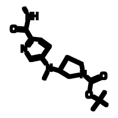 CNC(=O)c1ccc(N(C)C2CCN(C(=O)OC(C)(C)C)C2)cn1